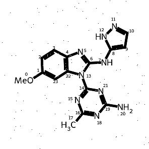 COc1ccc2nc(Nc3ccn[nH]3)n(-c3nc(C)nc(N)n3)c2c1